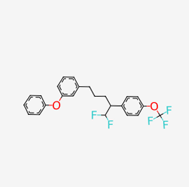 FC(F)C(CCCc1cccc(Oc2ccccc2)c1)c1ccc(OC(F)(F)F)cc1